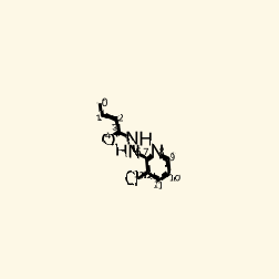 CC=CC(=O)NNc1ncccc1Cl